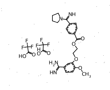 COc1ccc(C(=N)N)cc1OCCOC(=O)c1ccc(C(=N)N2CCCC2)cc1.O=C(O)C(F)(F)F.O=C(O)C(F)(F)F